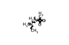 CCCN(C)CCN(C)c1c(C)c(=O)c1=O